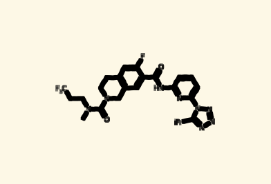 CC(C)c1nnnn1-c1cccc(NC(=O)c2cc3c(cc2F)CCN(C(=O)N(C)CCC(F)(F)F)C3)n1